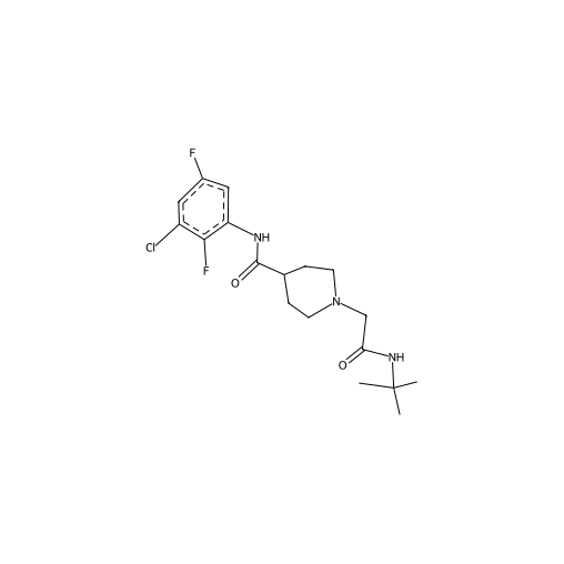 CC(C)(C)NC(=O)CN1CCC(C(=O)Nc2cc(F)cc(Cl)c2F)CC1